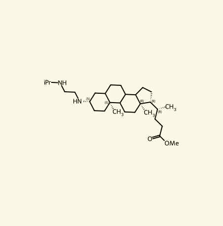 COC(=O)CC[C@@H](C)[C@H]1CCC2C3CCC4C[C@@H](NCCNC(C)C)CC[C@]4(C)C3CC[C@@]21C